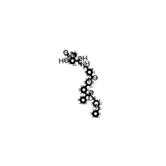 C/C=C\c1c(C(O)CNCCc2ccc(C(=O)N3CCC(c4cccc(C(C(=O)OCC5CCN(Cc6ccccc6)CC5)c5ccccc5)c4)CC3)cc2)ccc(O)c1NC=O